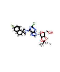 CC1(C)OC2C(O1)[C@@H](CO)O[C@H]2n1cnc2c(N3CC4(CCc5cc(F)ccc54)C3)nc(Cl)nc21